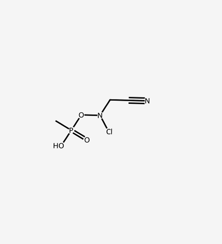 CP(=O)(O)ON(Cl)CC#N